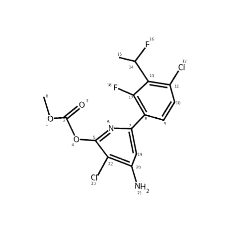 COC(=O)Oc1nc(-c2ccc(Cl)c(C(C)F)c2F)cc(N)c1Cl